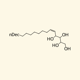 CCCCCCCCCCCCCCCCC/C=C\C(O)C(O)C(O)CO